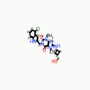 Cn1c(N[C@H]2C[C@H](CO)C2)nc2c1c(=O)n(Cc1cc3c(Cl)cccc3[nH]1)c(=O)n2C